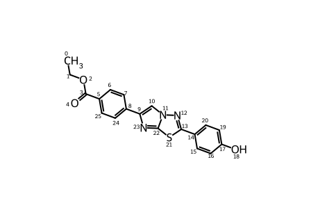 CCOC(=O)c1ccc(-c2cn3nc(-c4ccc(O)cc4)sc3n2)cc1